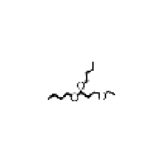 CCCCOC(CCOCC)OCCCC